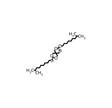 CC(C)CCCCCCCOP1OCC2(CO1)COP(OCCCCCCCC(C)C)OC2